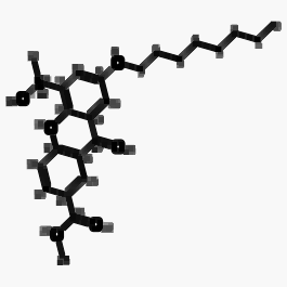 CCCCCCCCOc1cc([S+](C)[O-])c2oc3ccc(C(=O)OC)cc3c(=O)c2c1